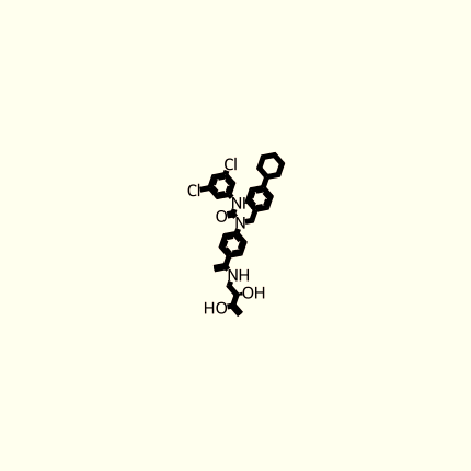 C=C(NC[C@@H](O)C(=C)O)c1ccc(N(Cc2ccc(C3CCCCC3)cc2)C(=O)Nc2cc(Cl)cc(Cl)c2)cc1